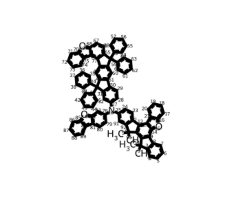 CC1(C)c2ccccc2-c2c1c1c(c3c2oc2ccccc23)-c2ccc(N(c3ccc4c(c3)C(c3ccccc3)(c3ccccc3)c3cc5c(cc3-4)C(c3ccccc3)(c3ccccc3)c3ccc4oc6ccccc6c4c3-5)c3ccc4c(c3)oc3ccccc34)cc2C1(C)C